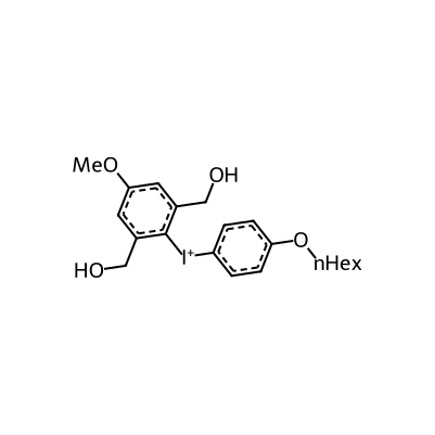 CCCCCCOc1ccc([I+]c2c(CO)cc(OC)cc2CO)cc1